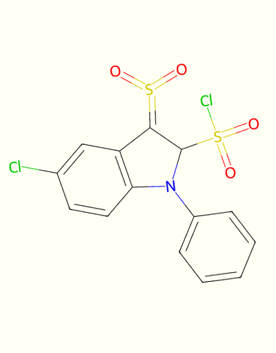 O=S(=O)=C1c2cc(Cl)ccc2N(c2ccccc2)C1S(=O)(=O)Cl